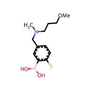 COCCCN(C)Cc1ccc(F)c(B(O)O)c1